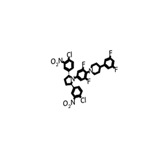 O=[N+]([O-])c1cc([C@H]2CC[C@H](c3ccc(Cl)c([N+](=O)[O-])c3)N2c2cc(F)c(N3CCC(c4cc(F)cc(F)c4)CC3)c(F)c2)ccc1Cl